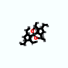 CCC1=C([Si](OC)(OC)C2=C(CC)C(CC)CC2CC)C(CC)CC1CC